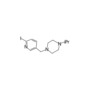 CC(C)N1CCN(Cc2ccc(I)nc2)CC1